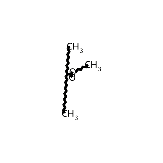 CCCCCCCCCCCCCCC(CCCCCCCCCC)C(=O)OCCCCCC